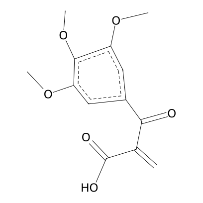 C=C(C(=O)O)C(=O)c1cc(OC)c(OC)c(OC)c1